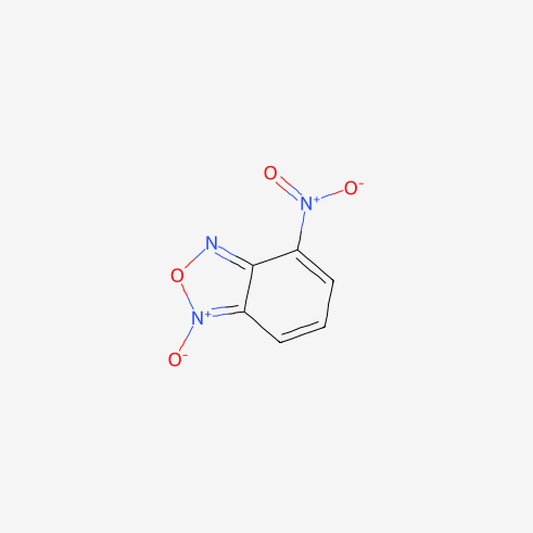 O=[N+]([O-])c1cccc2c1no[n+]2[O-]